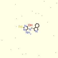 Nc1nc(S)nc(O)c1N=Cc1cncc2ccccc12